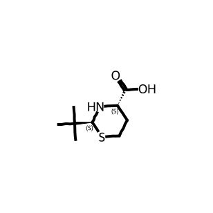 CC(C)(C)[C@H]1N[C@H](C(=O)O)CCS1